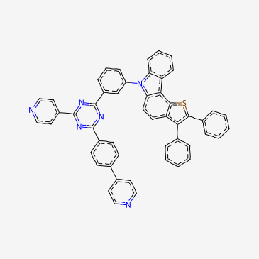 c1ccc(-c2sc3c(ccc4c3c3ccccc3n4-c3cccc(-c4nc(-c5ccncc5)nc(-c5ccc(-c6ccncc6)cc5)n4)c3)c2-c2ccccc2)cc1